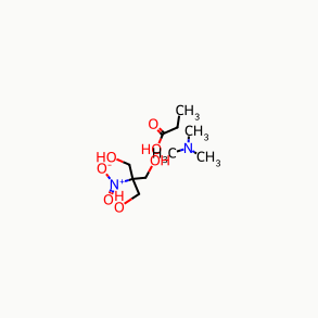 CCC(=O)O.CN(C)C.O=[N+]([O-])C(CO)(CO)CO